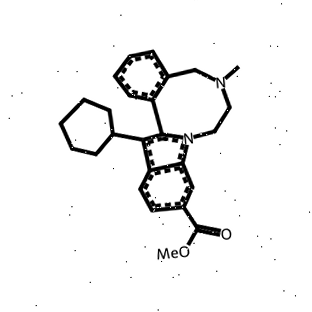 COC(=O)c1ccc2c(C3CCCCC3)c3n(c2c1)CCN(C)Cc1ccccc1-3